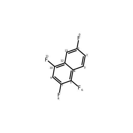 Fc1ccc2c(F)c(F)cc(F)c2c1